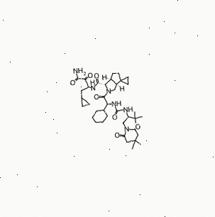 CC1(C)CC(=O)N(C[C@@H](NC(=O)N[C@H](C(=O)N2C[C@H]3[C@H](CCC34CC4)[C@H]2C(=O)NC(CC2CC2)C(=O)C(N)=O)C2CCCCC2)C(C)(C)C)C(=O)C1